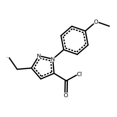 [CH2]Cc1cc(C(=O)Cl)n(-c2ccc(OC)cc2)n1